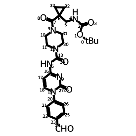 CC(C)(C)OC(=O)NCC1(C(=O)N2CCN(C(=O)Nc3ccn(-c4ccc(C=O)cc4)c(=O)n3)CC2)CC1